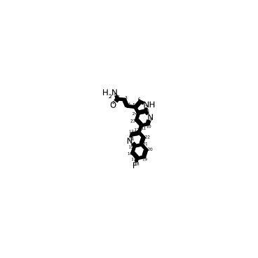 NC(=O)C=Cc1c[nH]c2ncc(-c3cnc4cc(F)ccc4c3)cc12